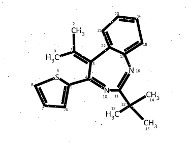 CC(C)=C1C(c2cccs2)=NC(C(C)(C)C)=Nc2ccccc21